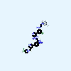 CN(C)CCNc1cc(F)cc(-c2cncc3[nH]c(-c4n[nH]c5ccc(-c6cncc(CN7CCC(F)(F)C7)c6)cc45)nc23)c1